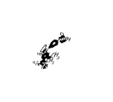 COc1cc(-c2cc3[nH]c(=O)n(C4CCC(N5CCNC(=O)C5)CC4)c3cc2C(C)C)cn2ncnc12